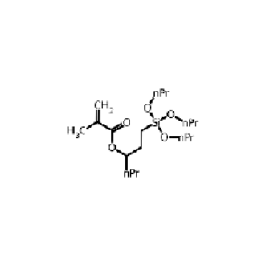 C=C(C)C(=O)OC(CCC)CC[Si](OCCC)(OCCC)OCCC